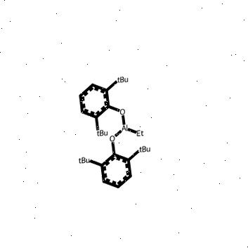 [CH2][CH2][Al]([O]c1c(C(C)(C)C)cccc1C(C)(C)C)[O]c1c(C(C)(C)C)cccc1C(C)(C)C